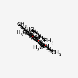 CCCCCCCCCCCCCC(=O)O.CCCCCCCCCCCCCCCCCCC(N)CCCCCCCCCCCCCCCCCC.CCCCCCCCCCCCCCCCCCN(C)C